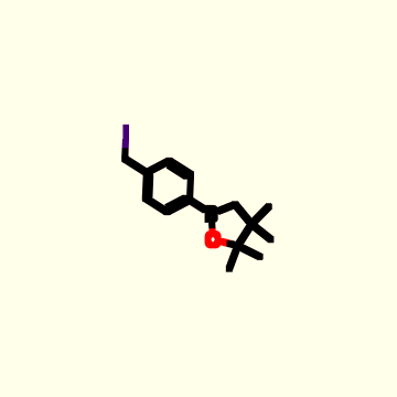 CC1(C)CB(c2ccc(CI)cc2)OC1(C)C